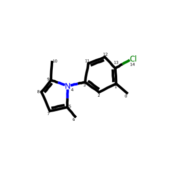 Cc1cc(-n2c(C)ccc2C)ccc1Cl